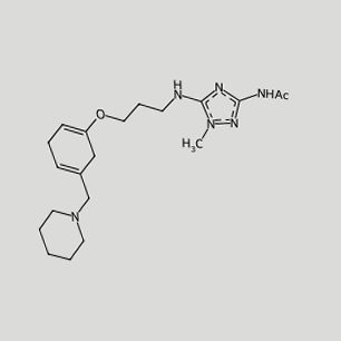 CC(=O)Nc1nc(NCCCOC2=CCC=C(CN3CCCCC3)C2)n(C)n1